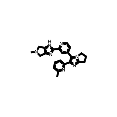 Cc1cccc(-c2nc3n(c2-c2ccnc(-c4nc5c([nH]4)CN(C)C5)c2)CCC3)n1